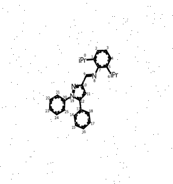 CC(C)c1cccc(C(C)C)c1/N=C/c1cc(-c2ccccc2)n(-c2ccccc2)n1